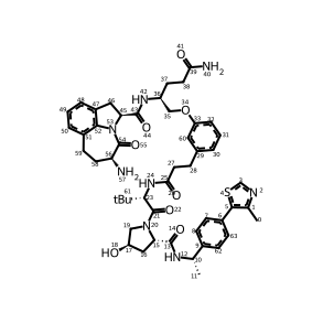 Cc1ncsc1-c1ccc([C@H](C)NC(=O)[C@@H]2C[C@@H](O)CN2C(=O)[C@@H](NC(=O)CCc2cccc(OC[C@H](CCC(N)=O)NC(=O)[C@@H]3Cc4cccc5c4N3C(=O)[C@@H](N)CC5)c2)C(C)(C)C)cc1